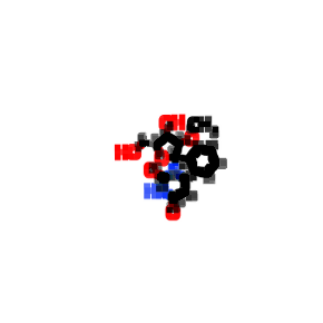 CO[C@@H]1[C@H](O)[C@@H](CO)O[C@@]1(c1ccccc1)n1ccc(=O)[nH]c1=O